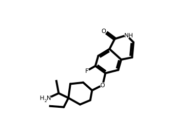 CCC1(C(C)N)CCC(Oc2cc3cc[nH]c(=O)c3cc2F)CC1